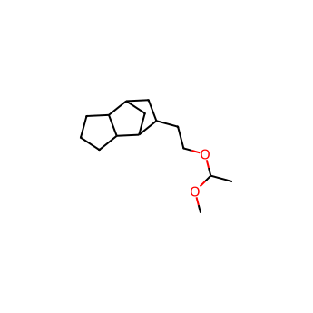 COC(C)OCCC1CC2CC1C1CCCC21